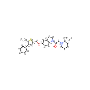 O=C(O)C1CCCCN1CC(=O)N1CCc2cc(OCc3cc(-c4ccccc4)c(C(F)(F)F)s3)ccc21